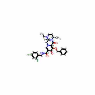 CC(C)CN1CC[C@H](C)N2C(=O)c3c(OCc4ccccc4)c(=O)c(C(=O)NCc4ccc(F)cc4F)cn3C[C@H]12